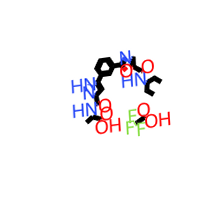 CCC(CC)NC(=O)c1cnc(-c2cccc(-c3cc(C(=O)NC(C)C(=O)O)n[nH]3)c2)o1.O=C(O)C(F)(F)F